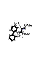 CO/C=C(\Oc1cc(-c2ccccc2C)ccc1C)C(=O)OC